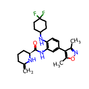 C=C1CCC[C@@H](C(=O)Nc2cc(-c3c(C)noc3C)ccc2NC2CCC(F)(F)CC2)N1